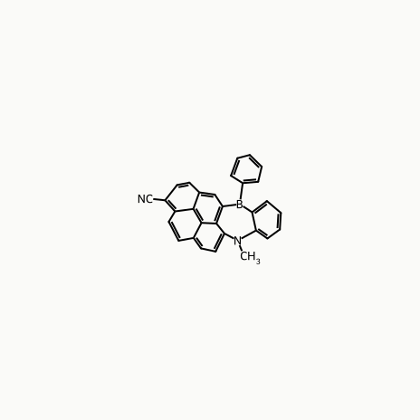 CN1c2ccccc2B(c2ccccc2)c2cc3ccc(C#N)c4ccc5ccc1c2c5c34